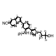 CC(C)Nc1cc(-c2ccc3cc(C#N)cnn23)ncc1-c1cn(CC(F)C(C)(C)O)nn1